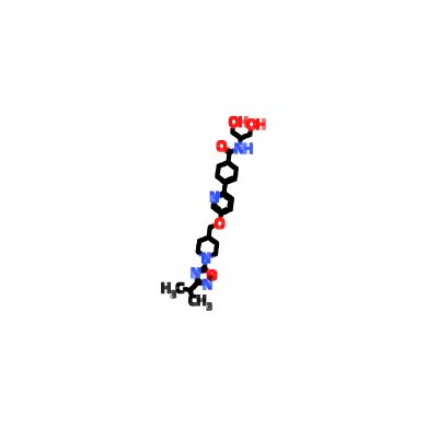 CC(C)c1noc(N2CCC(COc3ccc(C4=CCC(C(=O)NC(CO)CO)CC4)nc3)CC2)n1